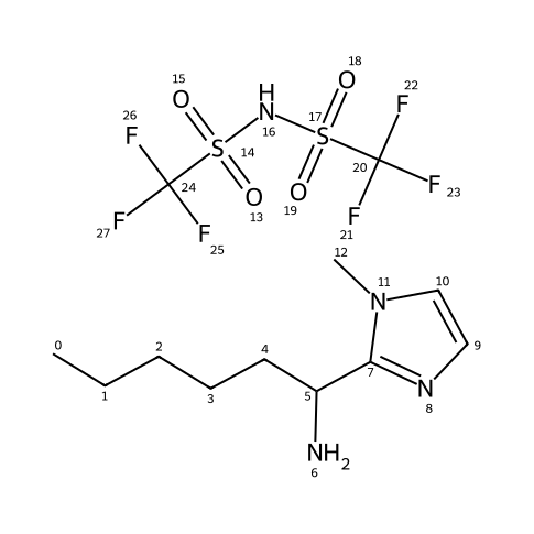 CCCCCC(N)c1nccn1C.O=S(=O)(NS(=O)(=O)C(F)(F)F)C(F)(F)F